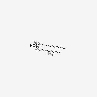 CCCCCCCCCCCCOS(=O)(=O)O.N.[CH2]CCCCCCCCCCC